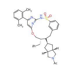 CC(=O)N1C[C@H]2C[C@H](C3Cc4cccc(c4)S(=O)(=O)Nc4nc(cc(-c5c(C)cccc5C)n4)OC[C@H]3CC(C)C)C[C@H]2C1